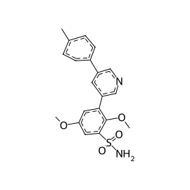 COc1cc(-c2cncc(-c3ccc(C)cc3)c2)c(OC)c(S(N)(=O)=O)c1